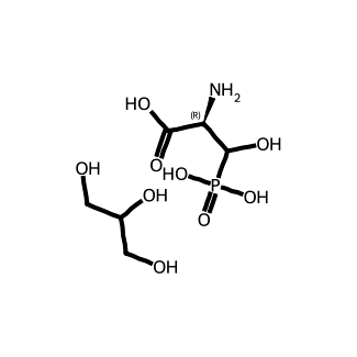 N[C@H](C(=O)O)C(O)P(=O)(O)O.OCC(O)CO